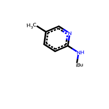 CCC(C)Nc1ccc(C)cn1